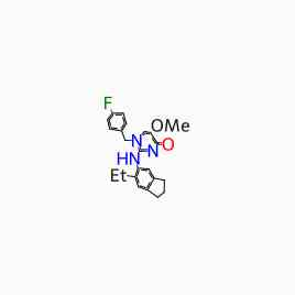 CCc1cc2c(cc1Nc1nc(=O)c(OC)cn1Cc1ccc(F)cc1)CCC2